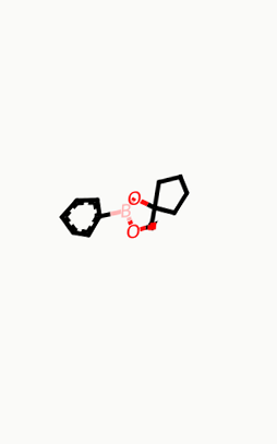 c1ccc(B2OC3(CCCC3)C3(CCCC3)O2)cc1